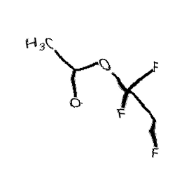 CC([O])OC(F)(F)CF